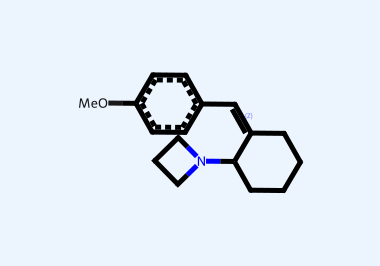 COc1ccc(/C=C2/CCCCC2N2CCC2)cc1